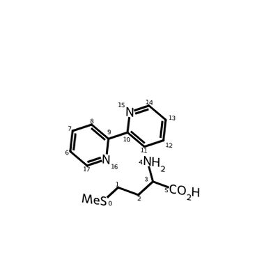 CSCCC(N)C(=O)O.c1ccc(-c2ccccn2)nc1